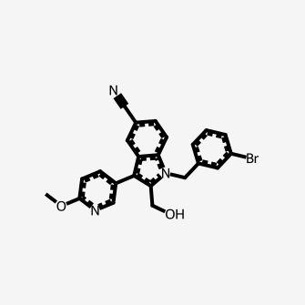 COc1ccc(-c2c(CO)n(Cc3cccc(Br)c3)c3ccc(C#N)cc23)cn1